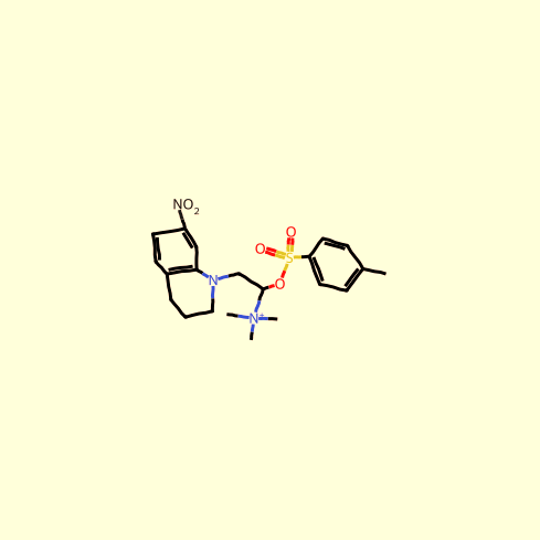 Cc1ccc(S(=O)(=O)OC(CN2CCCc3ccc([N+](=O)[O-])cc32)[N+](C)(C)C)cc1